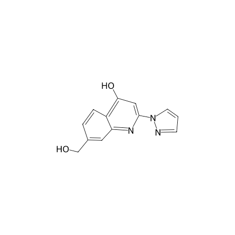 OCc1ccc2c(O)cc(-n3cccn3)nc2c1